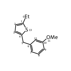 CCc1ccc(Cc2cccc(OC)c2)s1